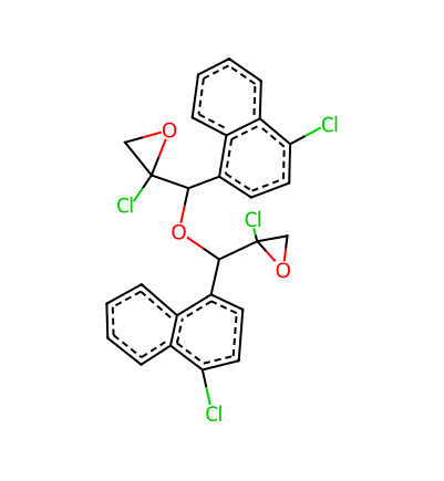 Clc1ccc(C(OC(c2ccc(Cl)c3ccccc23)C2(Cl)CO2)C2(Cl)CO2)c2ccccc12